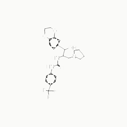 O=C(Nc1ccc(C(F)(F)F)cc1)NC(CN1CCCC1)C(O)c1ccc2c(c1)OCCO2